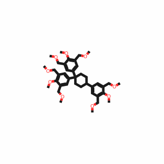 COCc1cc(C2CCC(c3cc(COC)c(OC)c(COC)c3)(c3cc(COC)c(OC)c(COC)c3)CC2)cc(COC)c1OC